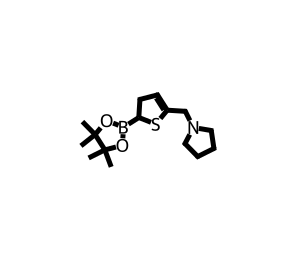 CC1(C)OB(C2CC=C(CN3CCCC3)S2)OC1(C)C